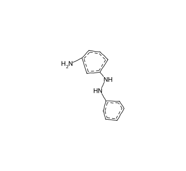 Nc1cccc(NNc2ccccc2)c1